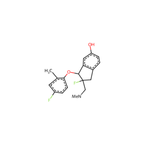 CNCC1(F)Cc2ccc(O)cc2C1Oc1ccc(F)cc1C